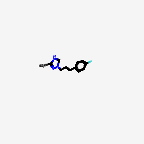 O=C(O)C1=NN(CCCc2ccc(F)cc2)CN1